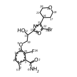 NC(=O)c1c(F)ccc(OCC(O)c2nc(C3CCOCC3)c(Br)o2)c1F